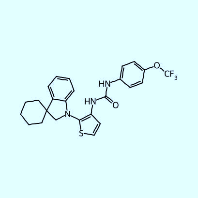 O=C(Nc1ccc(OC(F)(F)F)cc1)Nc1ccsc1N1CC2(CCCCC2)c2ccccc21